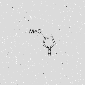 COc1[c][nH]cc1